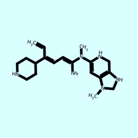 C=C/C(=C\C=C(/CCC)N(C)C1=CC2=C(CN1)NCN2C)C1CCNCC1